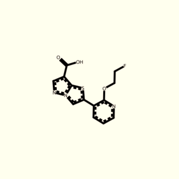 O=C(O)c1cnn2cc(-c3cccnc3OCCF)sc12